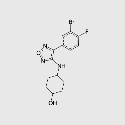 OC1CCC(Nc2nonc2-c2ccc(F)c(Br)c2)CC1